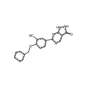 N#Cc1cc(-c2ncc3c(=O)[nH][nH]c3n2)ccc1OCc1ccccc1